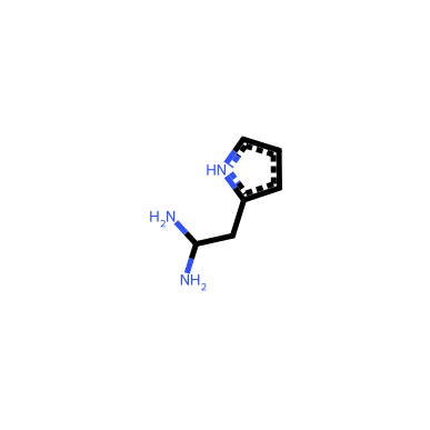 NC(N)Cc1ccc[nH]1